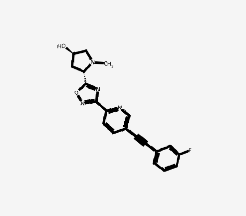 CN1C[C@H](O)C[C@H]1c1nc(-c2ccc(C#Cc3cccc(F)c3)cn2)no1